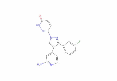 Nc1cc(-c2cn(-c3ccc(=O)[nH]n3)nc2-c2cccc(F)c2)ccn1